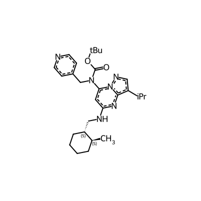 CC(C)c1cnn2c(N(Cc3ccncc3)C(=O)OC(C)(C)C)cc(NC[C@H]3CCCC[C@@H]3C)nc12